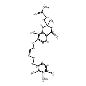 CCCc1c(OC/C=C\COc2ccc3c(c2CCC)OC(C)(CCC(=O)OC)CC3=O)ccc(C(C)=O)c1OC